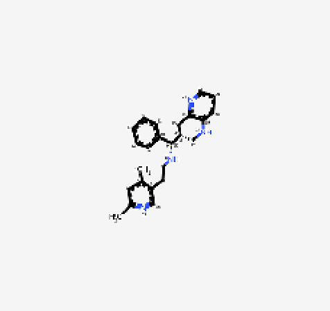 Cc1cc(C)c(CCN[C@H](c2ccccc2)[C@H]2CNc3cccnc3C2)cn1